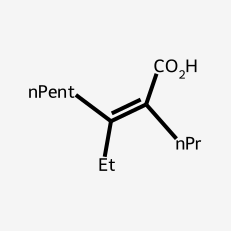 CCCCCC(CC)=C(CCC)C(=O)O